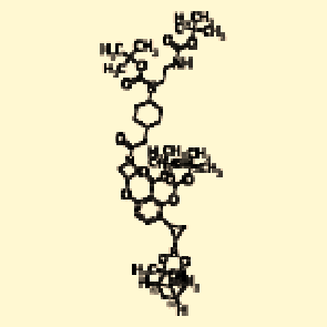 CC(C)(C)OC(=O)NCCN(C(=O)OC(C)(C)C)C1CCC(CC(=O)N2CC(Oc3ccc(C4CC4B4OC5C[C@@H]6C[C@@H](C6(C)C)[C@]5(C)O4)c(OC(=O)OC(C)(C)C)c3C(=O)OC(C)(C)C)C2)CC1